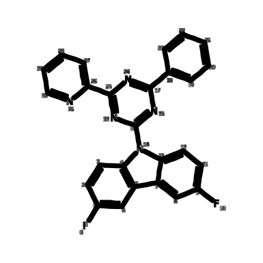 Fc1ccc2c(c1)c1cc(F)ccc1n2-c1nc(-c2ccccc2)nc(-c2ccccn2)n1